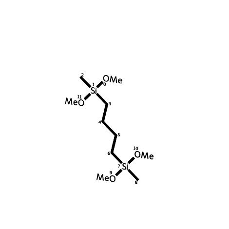 CO[Si](C)(CCCC[Si](C)(OC)OC)OC